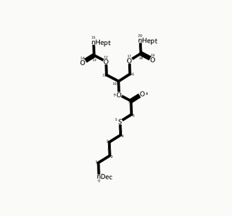 CCCCCCCCCCCCCCSCC(=O)OC(COC(=O)CCCCCCC)COC(=O)CCCCCCC